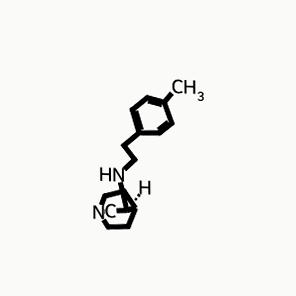 Cc1ccc(CCN[C@@H]2CN3CCC2CC3)cc1